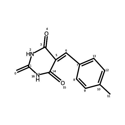 C=c1[nH]c(=O)c(=Cc2ccc(C)cc2)c(=O)[nH]1